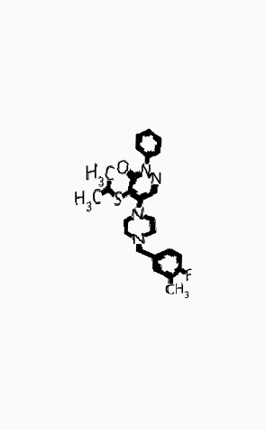 Cc1cc(CN2CCN(c3cnn(-c4ccccc4)c(=O)c3SC(C)C)CC2)ccc1F